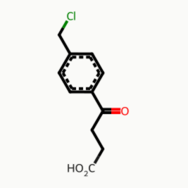 O=C(O)CCC(=O)c1ccc(CCl)cc1